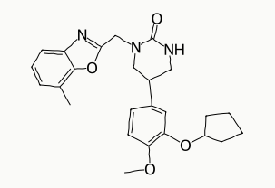 COc1ccc(C2CNC(=O)N(Cc3nc4cccc(C)c4o3)C2)cc1OC1CCCC1